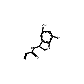 C=CC(=O)NC1COc2c(Br)cc(O)cc21